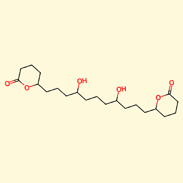 O=C1CCCC(CCCC(O)CCCC(O)CCCC2CCCC(=O)O2)O1